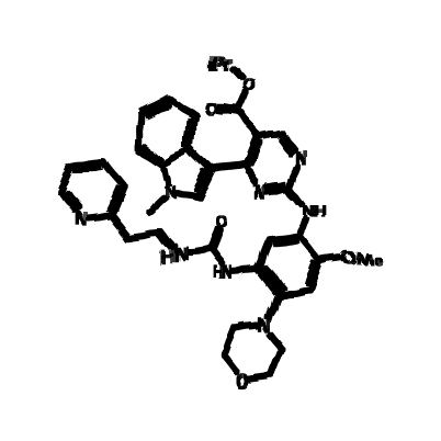 COc1cc(N2CCOCC2)c(NC(=O)NCCc2ccccn2)cc1Nc1ncc(C(=O)OC(C)C)c(-c2cn(C)c3ccccc23)n1